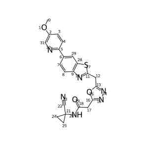 COc1ccc(-c2ccc3nc(Cc4nnc(CC(=O)NC5(C#N)CC5)o4)sc3c2)nc1